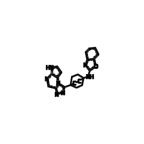 c1ccc2oc(NC34CCC(c5nnc6cnc7[nH]ccc7n56)(CC3)CC4)nc2c1